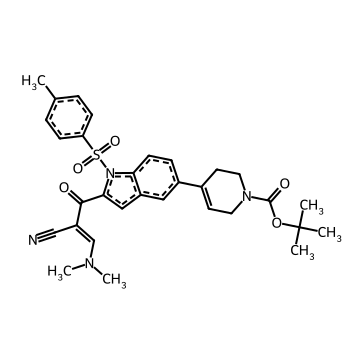 Cc1ccc(S(=O)(=O)n2c(C(=O)C(C#N)=CN(C)C)cc3cc(C4=CCN(C(=O)OC(C)(C)C)CC4)ccc32)cc1